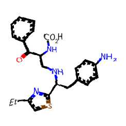 CCc1csc([C@H](Cc2ccc(N)cc2)NCC(NC(=O)O)C(=O)c2ccccc2)n1